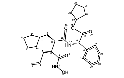 C=CC[C@H](C(=O)NO)[C@@H](CC1CCCC1)C(=O)N[C@H](C(=O)OC1CCCC1)c1ccccc1